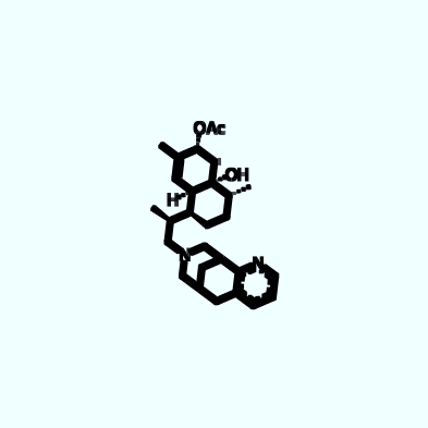 CC(=O)O[C@@H]1[C][C@@]2(O)[C@H](C)CC[C@@H]([C@H](C)CN3CC4Cc5cccnc5C(C4)C3)[C@H]2C=C1C